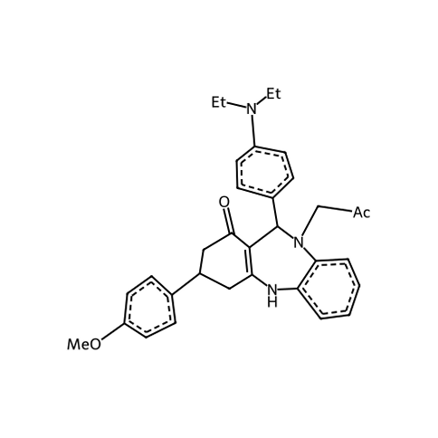 CCN(CC)c1ccc(C2C3=C(CC(c4ccc(OC)cc4)CC3=O)Nc3ccccc3N2CC(C)=O)cc1